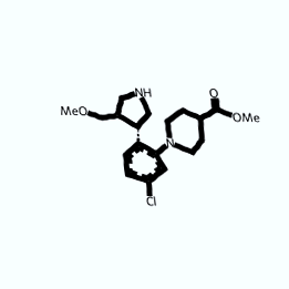 COCC1CNC[C@@H]1c1ccc(Cl)cc1N1CCC(C(=O)OC)CC1